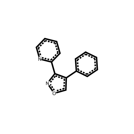 c1ccc(-c2conc2-c2ccccn2)cc1